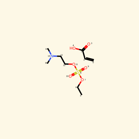 C=CC(=O)O.CCOS(=O)(=O)OCCN(C)C